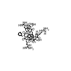 CC(C)(NC(=O)[C@H](CS)NC(=O)[C@@H](N)CCCNC(=N)N)C(=O)N[C@@H](CCCNC(=N)N)C(=O)N[C@H](Cc1ccccc1)C(=O)N[C@@H](CC(Br)CNC(=N)N)C(=O)N[C@H](Cc1c[nH]c2ccccc12)C(=O)N[C@@H](CS)C(=O)O